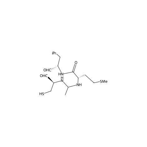 CSCC[C@H](NC(C)N[C@H](C=O)CS)C(=O)N[C@H](C=O)CC(C)C